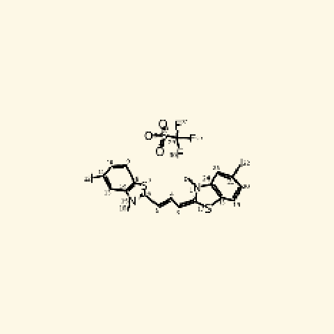 CN1C(=CC=Cc2sc3ccc(I)cc3[n+]2C)Sc2ccc(I)cc21.O=S(=O)([O-])C(F)(F)F